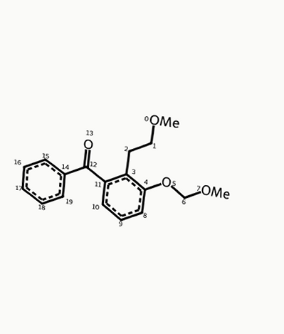 COCCc1c(OCOC)cccc1C(=O)c1ccccc1